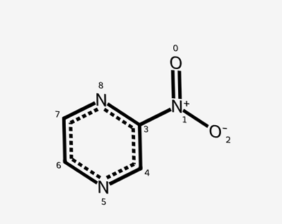 O=[N+]([O-])c1cnccn1